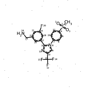 CS(=O)(=O)c1ccc(-n2cc(C(F)(F)F)nc2-c2cc(F)cc(CN)c2)cc1